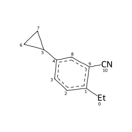 CCc1ccc(C2CC2)cc1C#N